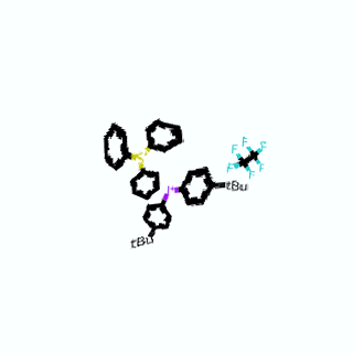 CC(C)(C)c1ccc([I+]c2ccc(C(C)(C)C)cc2)cc1.FC(F)(F)C(F)(F)F.c1ccc([S+](c2ccccc2)c2ccccc2)cc1